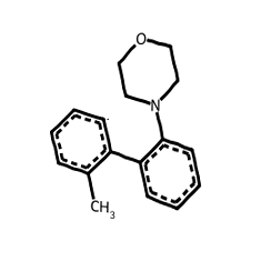 Cc1ccc[c]c1-c1ccccc1N1CCOCC1